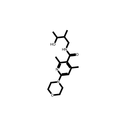 Cc1cc(N2CCOCC2)nc(C)c1C(=O)NCC(C)C(C)O